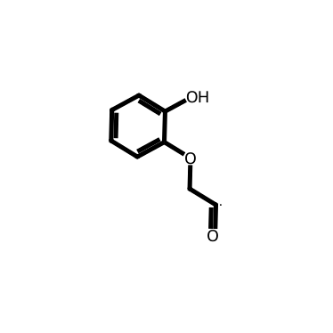 O=[C]COc1ccccc1O